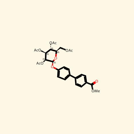 COC(=O)c1ccc(-c2ccc(O[C@@H]3O[C@H](COC(C)=O)[C@@H](OC(C)=O)[C@H](OC(C)=O)[C@@H]3OC(C)=O)cc2)cc1